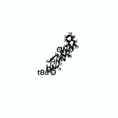 CC#CCn1c(NC[C@H](C)NC(=O)OC(C)(C)C)nc2c1c(=O)n(Cc1nc(C)cc3ccccc13)c(=O)n2C